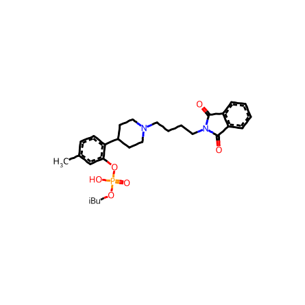 CCC(C)OP(=O)(O)Oc1cc(C)ccc1C1CCN(CCCCN2C(=O)c3ccccc3C2=O)CC1